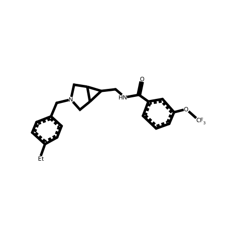 CCc1ccc(CN2CC3C(CNC(=O)c4cccc(OC(F)(F)F)c4)C3C2)cc1